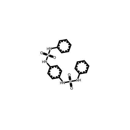 O=S(=O)(Nc1ccccc1)Nc1ccc(NS(=O)(=O)Nc2ccccc2)cc1